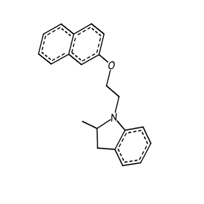 CC1Cc2ccccc2N1CCOc1ccc2ccccc2c1